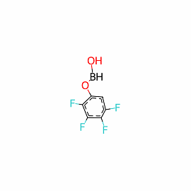 OBOc1cc(F)c(F)c(F)c1F